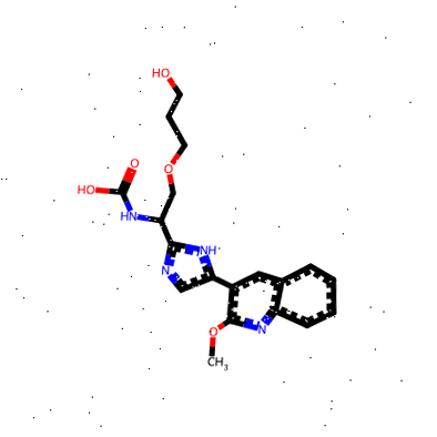 COc1nc2ccccc2cc1-c1cnc(C(COCCCO)NC(=O)O)[nH]1